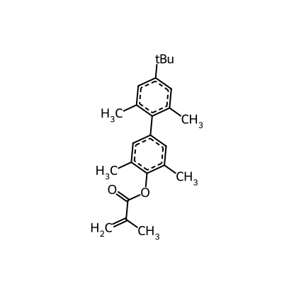 C=C(C)C(=O)Oc1c(C)cc(-c2c(C)cc(C(C)(C)C)cc2C)cc1C